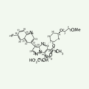 COCCO[C@H]1CC[C@H](c2nc3c(-c4cnc5ccc(F)cc5c4)cnn3c(N)c2S(C)(=O)=O)CC1.O=C(O)O